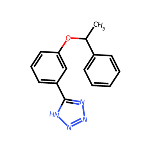 CC(Oc1cccc(-c2nnn[nH]2)c1)c1ccccc1